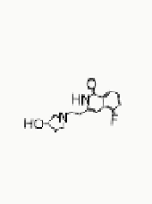 O=c1[nH]c(CCN2CCC(O)C2)cc2c(F)cccc12